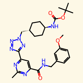 COc1cccc(CNC(=O)c2cc(-c3nnn(C[C@H]4CC[C@H](NC(=O)OC(C)(C)C)CC4)n3)nc(C)n2)c1